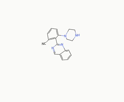 N#Cc1cccc(N2CCNCC2)c1-c1ncc2ccccc2n1